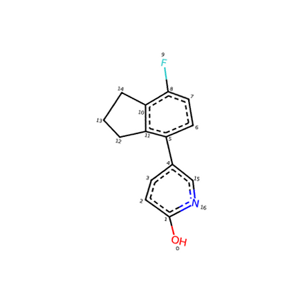 Oc1ccc(-c2ccc(F)c3c2CCC3)cn1